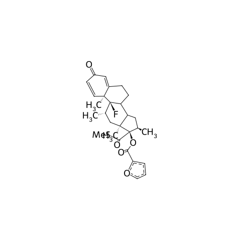 CSC(=O)[C@@]1(OC(=O)c2ccco2)[C@H](C)CC2C3CCC4=CC(=O)C=C[C@]4(C)[C@@]3(F)[C@@H](C)C[C@@]21C